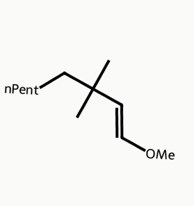 CCCCCCC(C)(C)C=COC